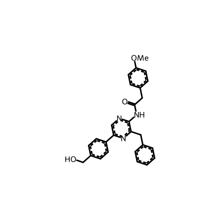 COc1ccc(CC(=O)Nc2ncc(-c3ccc(CO)cc3)nc2Cc2ccccc2)cc1